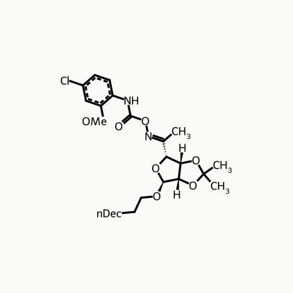 CCCCCCCCCCCCO[C@H]1O[C@H](/C(C)=N/OC(=O)Nc2ccc(Cl)cc2OC)[C@@H]2OC(C)(C)O[C@H]12